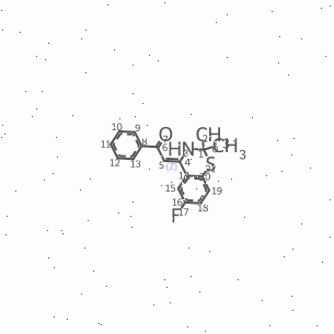 CC1(C)N/C(=C\C(=O)c2ccccc2)c2cc(F)ccc2S1